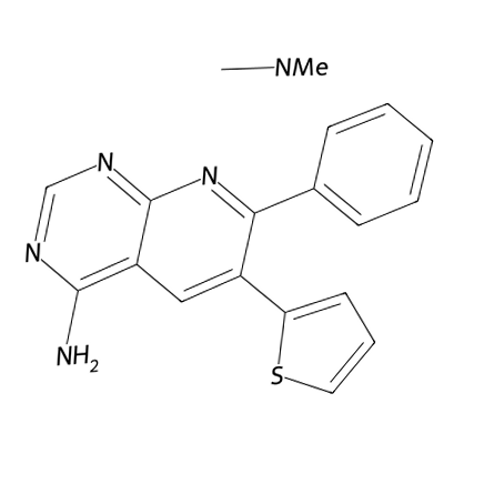 CNC.Nc1ncnc2nc(-c3ccccc3)c(-c3cccs3)cc12